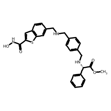 COC(=O)[C@@H](NCc1ccc(CNCc2ccc3cc(C(=O)NO)sc3c2)cc1)c1ccccc1